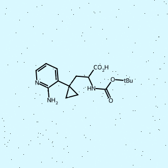 CC(C)(C)OC(=O)NC(CC1(c2cccnc2N)CC1)C(=O)O